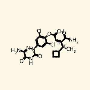 C=C(/C=C(\C(N)=O)[C@@H](C)C1CCC1)Oc1c(Cl)cc(-n2nc(N)c(=O)[nH]c2=O)cc1Cl